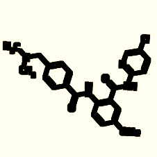 COc1ccc(NC(=O)c2ccc(CN(C)C)cc2)c(C(=O)Nc2ccc(Cl)cn2)c1